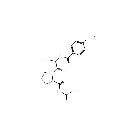 COc1ccc(C(=O)NC(C(=O)N2CCCC2C(=O)NC(C(C)=O)C(C)C)C(C)C)cc1